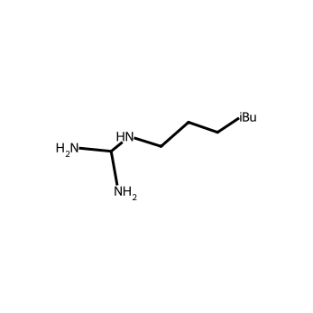 CCC(C)CCCNC(N)N